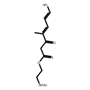 CCC/C=C/C=C(\C)C(=O)CC(=S)OCCNC(C)=O